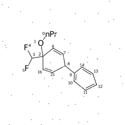 CCCOC1(C(F)F)C=CC(c2ccccc2)C=C1